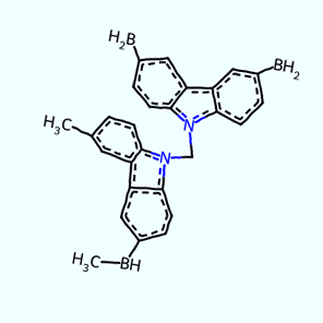 Bc1ccc2c(c1)c1cc(B)ccc1n2Cn1c2ccc(C)cc2c2cc(BC)ccc21